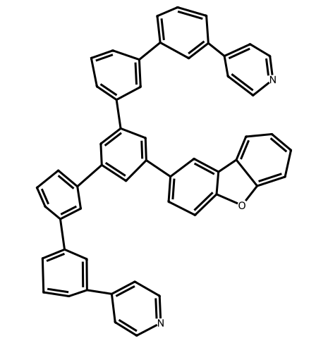 c1cc(-c2ccncc2)cc(-c2cccc(-c3cc(-c4cccc(-c5cccc(-c6ccncc6)c5)c4)cc(-c4ccc5oc6ccccc6c5c4)c3)c2)c1